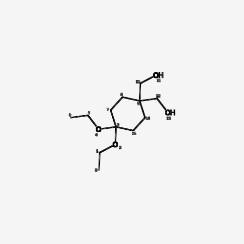 CCOC1(OCC)CCC(CO)(CO)CC1